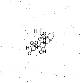 CCS(=O)(=O)N[C@@H]1CCCC[C@H]1Cc1ccc(N2CC(=O)NS2(=O)=O)c(O)c1